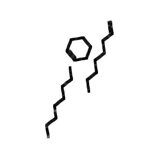 C1=CCCCC1.C=CCCCCCC.CCCCCCCC